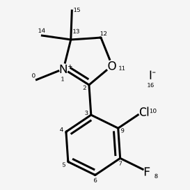 C[N+]1=C(c2cccc(F)c2Cl)OCC1(C)C.[I-]